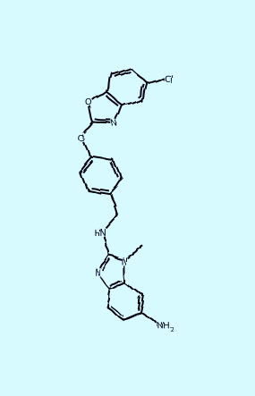 Cn1c(NCc2ccc(Oc3nc4cc(Cl)ccc4o3)cc2)nc2ccc(N)cc21